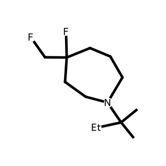 CCC(C)(C)N1CCCC(F)(CF)CC1